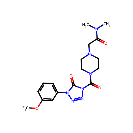 CN(C)C(=O)CN1CCN(C(=O)n2nnn(-c3cccc(OC(F)(F)F)c3)c2=O)CC1